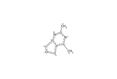 Cc1nc(C)c2cocc2n1